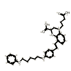 O=C(O)CCCN1CC(C(=O)O)Oc2c(/C=C/c3ccc(OCCCCCOc4ccccc4)cc3)cccc21